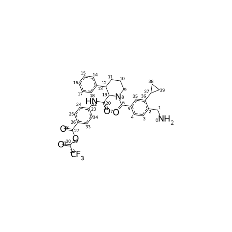 NCc1ccc(C(=O)N2CCCC(c3ccccc3)C2C(=O)Nc2ccc(C(=O)OC(=O)C(F)(F)F)cc2)cc1C1CC1